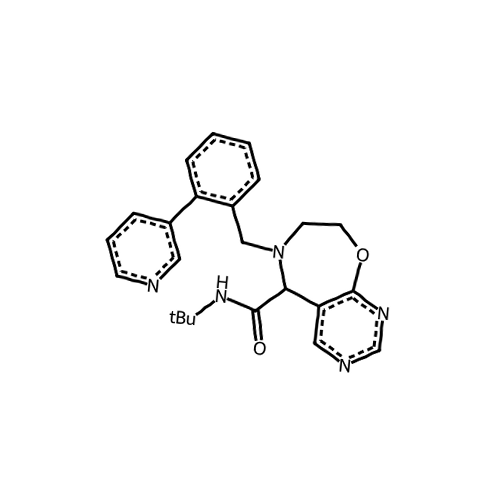 CC(C)(C)NC(=O)C1c2cncnc2OCCN1Cc1ccccc1-c1cccnc1